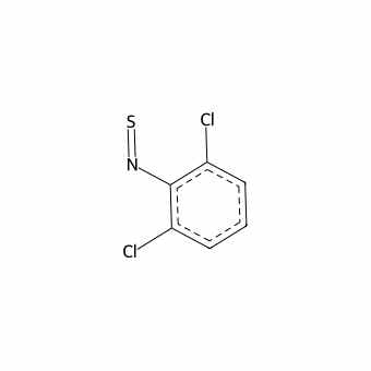 S=Nc1c(Cl)cccc1Cl